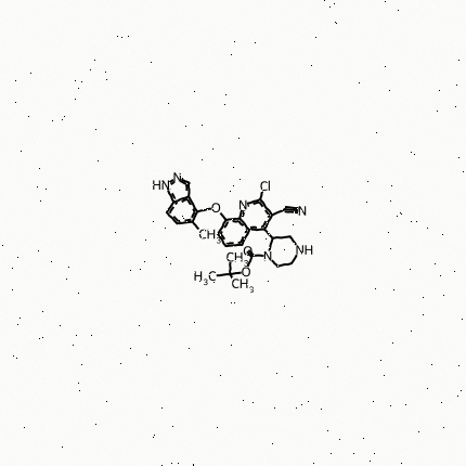 Cc1ccc2[nH]ncc2c1Oc1cccc2c(C3CNCCN3C(=O)OC(C)(C)C)c(C#N)c(Cl)nc12